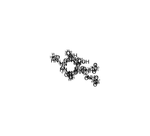 C[C@@H](O)[C@@H]1NC(=O)[C@H](CCCCNC(=O)OC(C)(C)C)NC(=O)[C@@H](Cc2c[nH]c3ccccc23)NC(O)[C@H](Cc2ccc(O)cc2)NC(=O)[C@H](CCC(=O)N[C@@H](CCC(=O)NCCCN2C(=O)C=CC2=O)C(=O)NCCCN2C(=O)C=CC2=O)N(C)C(=O)[C@H](Cc2ccccc2)NC1=O